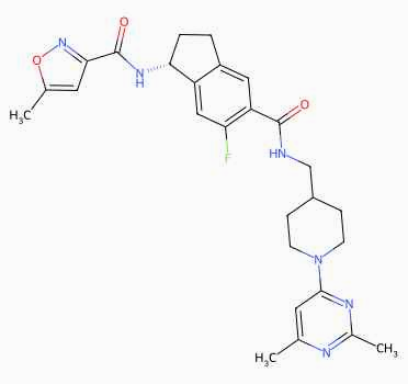 Cc1cc(N2CCC(CNC(=O)c3cc4c(cc3F)[C@H](NC(=O)c3cc(C)on3)CC4)CC2)nc(C)n1